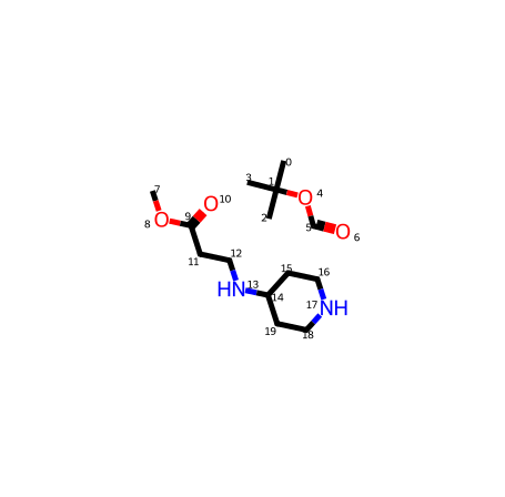 CC(C)(C)OC=O.COC(=O)CCNC1CCNCC1